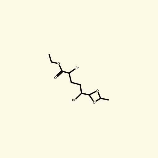 CCOC(=O)C(Br)CCC(Br)C1OC(C)O1